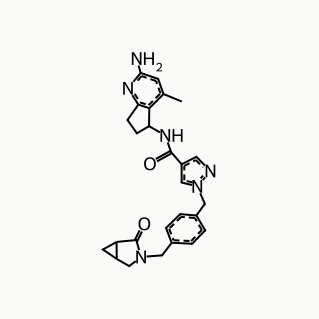 Cc1cc(N)nc2c1C(NC(=O)c1cnn(Cc3ccc(CN4CC5CC5C4=O)cc3)c1)CC2